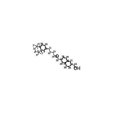 CC1(C)CCC(C)(C)c2cc(CCCCOCc3ccc4cc(CO)ccc4c3)ccc21